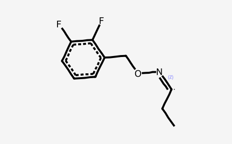 CC/[C]=N\OCc1cccc(F)c1F